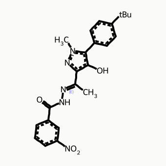 C/C(=N\NC(=O)c1cccc([N+](=O)[O-])c1)c1nn(C)c(-c2ccc(C(C)(C)C)cc2)c1O